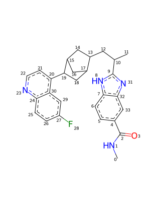 CNC(=O)c1ccc2[nH]c(C(C)CC3CC4CC3CC4c3ccnc4ccc(F)cc34)nc2c1